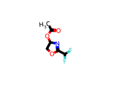 CC(=O)OC1COC(C(F)F)=N1